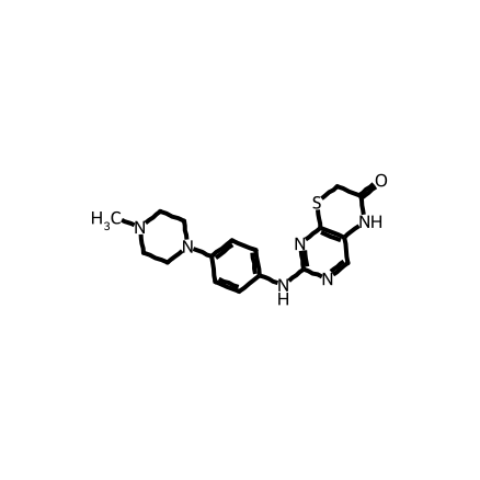 CN1CCN(c2ccc(Nc3ncc4c(n3)SCC(=O)N4)cc2)CC1